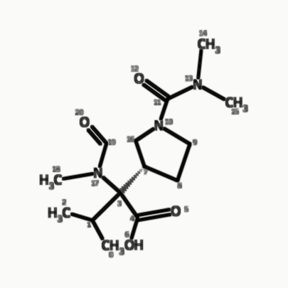 CC(C)C(C(=O)O)([C@H]1CCN(C(=O)N(C)C)C1)N(C)C=O